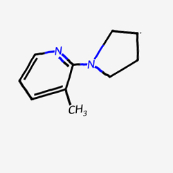 Cc1cccnc1N1C[CH]CC1